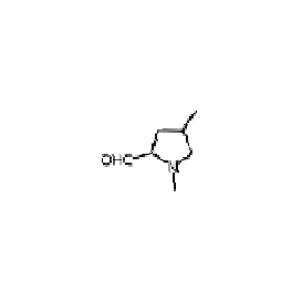 CC1CC(C=O)N(C)C1